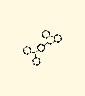 C(=C\c1ccccc1-c1ccccc1)/c1ccc(N(c2ccccc2)c2ccccc2)cc1